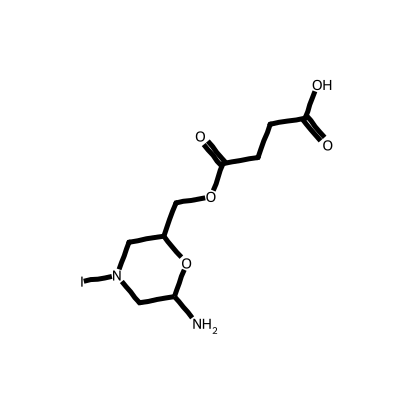 NC1CN(I)CC(COC(=O)CCC(=O)O)O1